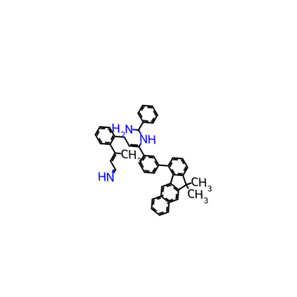 C/C(=C\C=N)c1ccccc1C/C=C(\NC(N)c1ccccc1)c1cccc(-c2cccc3c2-c2cc4ccccc4cc2C3(C)C)c1